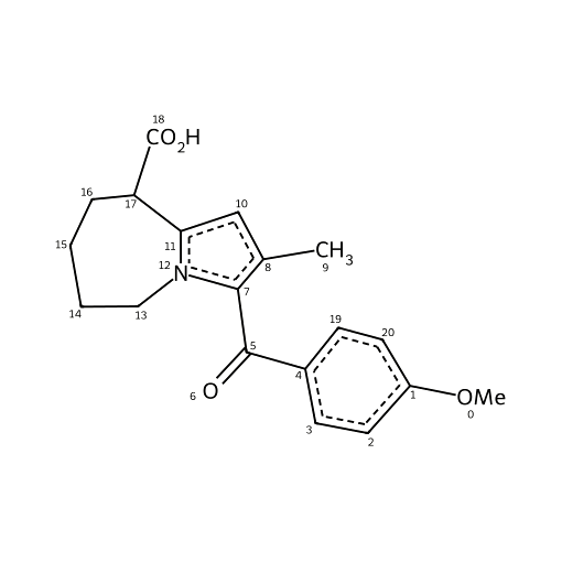 COc1ccc(C(=O)c2c(C)cc3n2CCCCC3C(=O)O)cc1